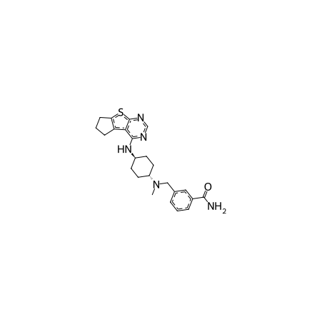 CN(Cc1cccc(C(N)=O)c1)[C@H]1CC[C@H](Nc2ncnc3sc4c(c23)CCC4)CC1